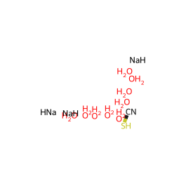 N#CS.O.O.O.O.O.O.O.O.O.[NaH].[NaH].[NaH]